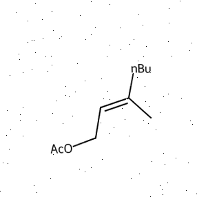 CCCC/C(C)=C/COC(C)=O